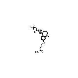 CN1CCCC(=NNC(=O)CC(C)(C)S)c2ccc(OCCCC(=O)O)cc21